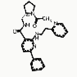 CC(=O)N1CCC[C@H]1CNC(=O)c1ccc(-c2ccccc2)nc1NCCc1ccccn1